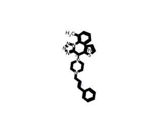 Cc1cccc(C)c1-n1nnnc1[C@@H](c1cccs1)N1CCN(C/C=C/c2ccccc2)CC1